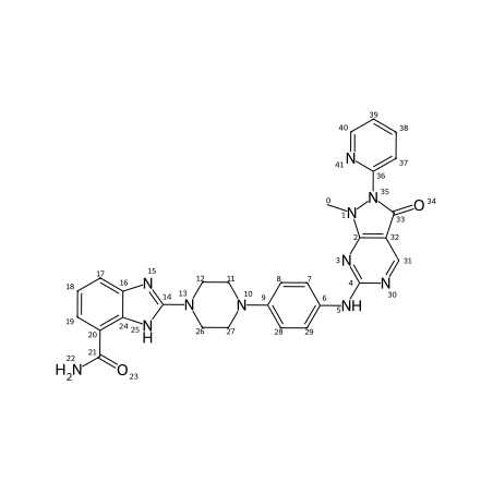 Cn1c2nc(Nc3ccc(N4CCN(c5nc6cccc(C(N)=O)c6[nH]5)CC4)cc3)ncc2c(=O)n1-c1ccccn1